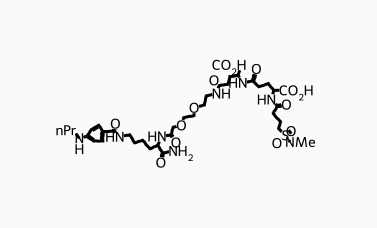 CCCNc1ccc(C(=O)NCCCCC(NC(=O)COCCOCCNC(=O)CCC(NC(=O)CCC(NC(=O)CCCS(=O)(=O)NC)C(=O)O)C(=O)O)C(N)=O)cc1